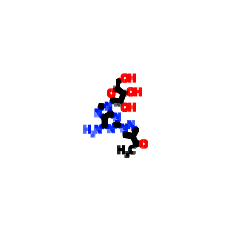 CC(=O)c1cnn(-c2nc(N)c3ncn(C4O[C@@H](CO)[C@H](O)[C@@H]4O)c3n2)c1